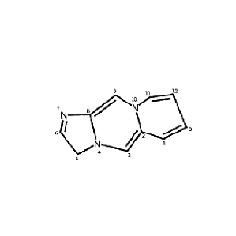 C1=CC2=CN3CC=NC3=CN2C=C1